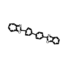 c1ccc2oc(-c3ccc(-c4ccc(-c5nc6ccccc6o5)cc4)cc3)nc2c1